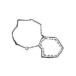 c1ccc2c(c1)CCCCCO2